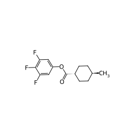 C[C@H]1CC[C@H](C(=O)Oc2cc(F)c(F)c(F)c2)CC1